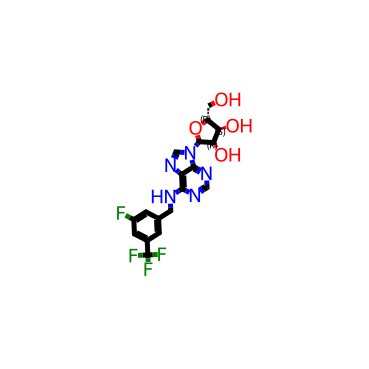 OC[C@H]1OC(n2cnc3c(NCc4cc(F)cc(C(F)(F)F)c4)ncnc32)[C@H](O)[C@@H]1O